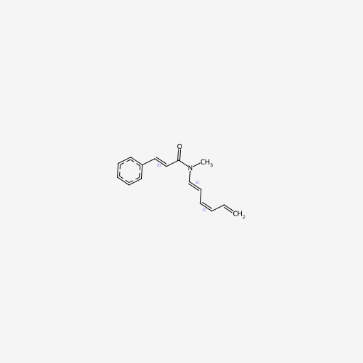 C=C/C=C\C=C\N(C)C(=O)/C=C/c1ccccc1